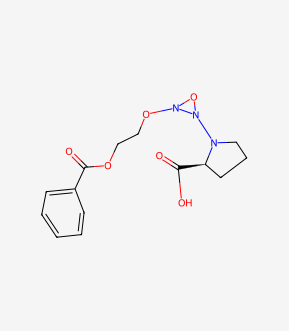 O=C(OCCOn1on1N1CCC[C@H]1C(=O)O)c1ccccc1